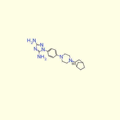 Nc1nc(N)n(-c2ccc(N3CCN([C@H]4CC5CCC4C5)CC3)cc2)n1